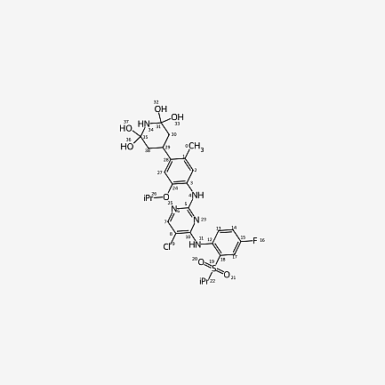 Cc1cc(Nc2ncc(Cl)c(Nc3ccc(F)cc3S(=O)(=O)C(C)C)n2)c(OC(C)C)cc1C1CC(O)(O)NC(O)(O)C1